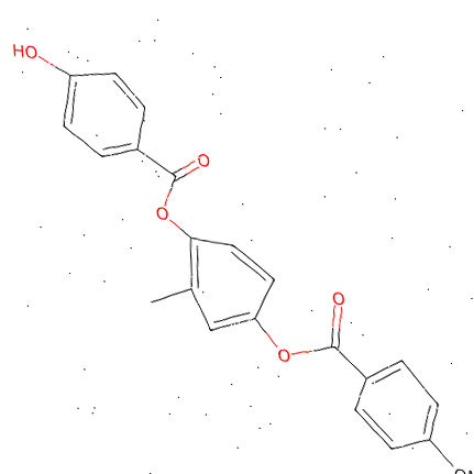 COc1ccc(C(=O)Oc2ccc(OC(=O)c3ccc(O)cc3)c(C)c2)cc1